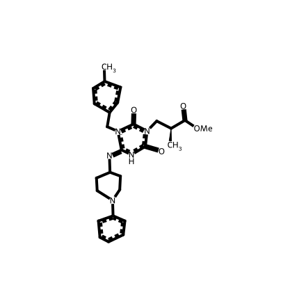 COC(=O)[C@@H](C)Cn1c(=O)[nH]/c(=N\C2CCN(c3ccccc3)CC2)n(Cc2ccc(C)cc2)c1=O